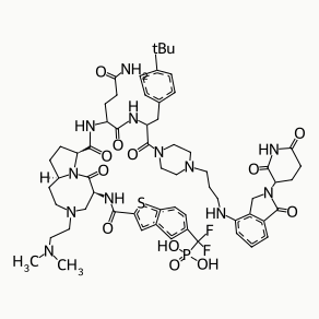 CN(C)CCN1CC[C@H]2CC[C@@H](C(=O)NC(CCC(N)=O)C(=O)NC(Cc3ccc(C(C)(C)C)cc3)C(=O)N3CCN(CCCNc4cccc5c4CN(C4CCC(=O)NC4=O)C5=O)CC3)N2C(=O)[C@@H](NC(=O)c2cc3cc(C(F)(F)P(=O)(O)O)ccc3s2)C1